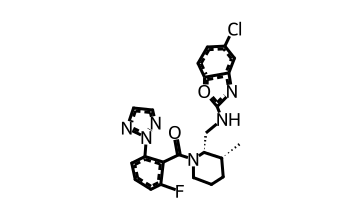 C[C@@H]1CCCN(C(=O)c2c(F)cccc2-n2nccn2)[C@@H]1CNc1nc2cc(Cl)ccc2o1